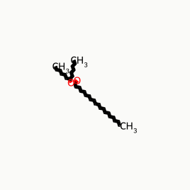 CCCCCCCCCCCCCCCCCCCCC(=O)OC(CCCCCC)CCCCCC